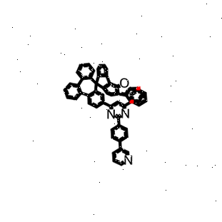 c1ccc(-c2cc(-c3ccc4c(c3)C3(c5ccccc5-c5ccccc5-4)c4ccccc4-c4c3ccc3c4oc4ccccc43)nc(-c3ccc(-c4cccnc4)cc3)n2)cc1